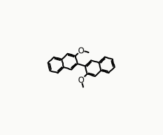 COc1cc2ccccc2cc1-c1cc2ccccc2cc1OC